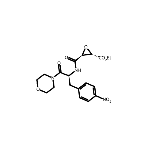 CCOC(=O)[C@H]1O[C@@H]1C(=O)N[C@@H](Cc1ccc([N+](=O)[O-])cc1)C(=O)N1CCOCC1